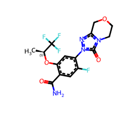 C[C@H](Oc1cc(-n2nc3n(c2=O)CCOC3)c(F)cc1C(N)=O)C(F)(F)F